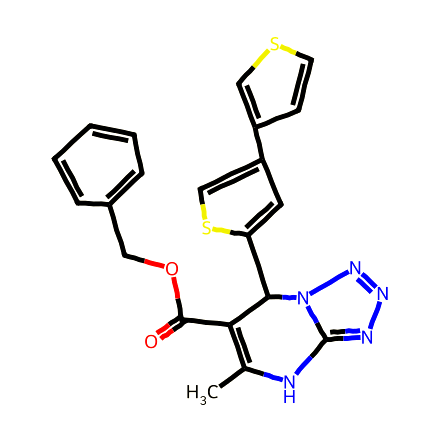 CC1=C(C(=O)OCc2ccccc2)C(c2cc(-c3ccsc3)cs2)n2nnnc2N1